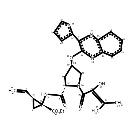 C=C[C@@H]1C[C@]1(NC(=O)[C@@H]1C[C@@H](Oc2nc3ccccc3nc2-c2cccs2)CN1C(=O)C(O)=C(C)C)C(=O)OCC